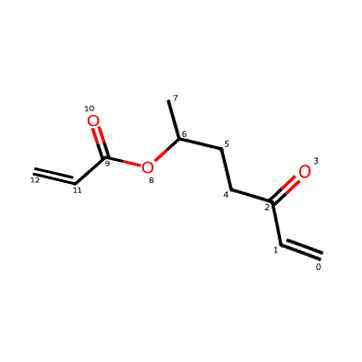 C=CC(=O)CCC(C)OC(=O)C=C